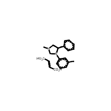 Cc1cccc(N2CN(C)CC2c2ccccc2)c1.O=C(O)/C=C/C(=O)O